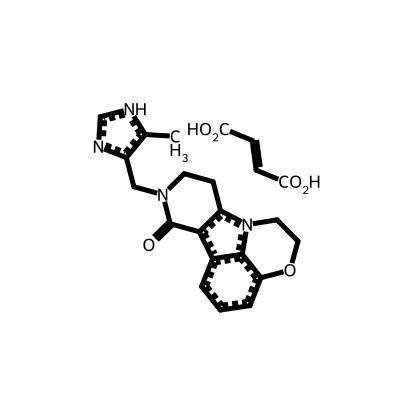 Cc1[nH]cnc1CN1CCc2c(c3cccc4c3n2CCO4)C1=O.O=C(O)C=CC(=O)O